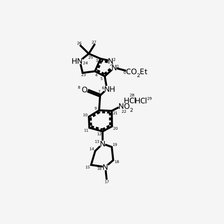 CCOC(=O)n1nc2c(c1NC(=O)c1ccc(N3CCN(C)CC3)cc1[N+](=O)[O-])CNC2(C)C.Cl.Cl